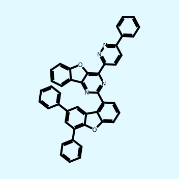 c1ccc(-c2cc(-c3ccccc3)c3oc4cccc(-c5nc(-c6ccc(-c7ccccc7)nn6)c6oc7ccccc7c6n5)c4c3c2)cc1